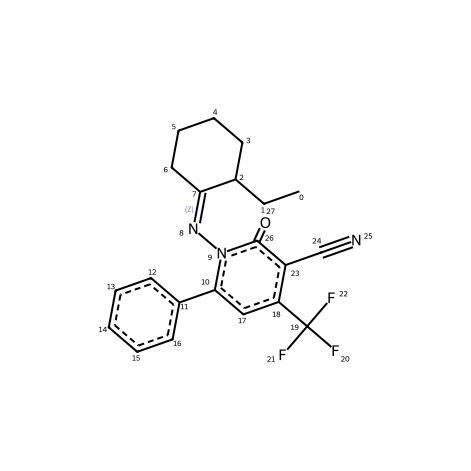 CCC1CCCC/C1=N/n1c(-c2ccccc2)cc(C(F)(F)F)c(C#N)c1=O